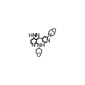 c1cc(-c2n[nH]c3ccnc(NC4CCOCC4)c23)cc(N2CCOCC2)n1